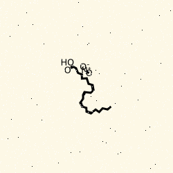 CCCCC/C=C\C/C=C\C/C=C\C/C=C\CCCC(CCC(=O)O)[N+](=O)[O-]